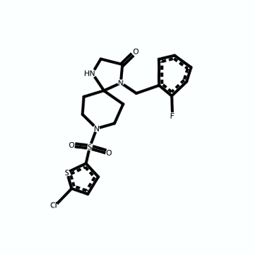 O=C1CNC2(CCN(S(=O)(=O)c3ccc(Cl)s3)CC2)N1Cc1ccccc1F